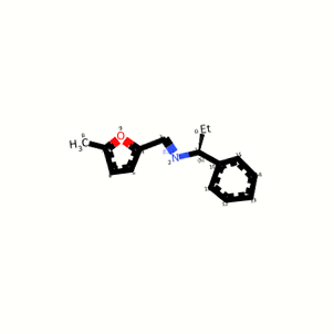 CC[C@H](/N=C/c1ccc(C)o1)c1ccccc1